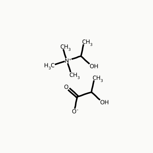 CC(O)C(=O)[O-].CC(O)[N+](C)(C)C